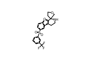 O=S(=O)(c1cccc(C(F)(F)F)c1)c1ccc2oc3c(c2c1)CCNC31CCOC1